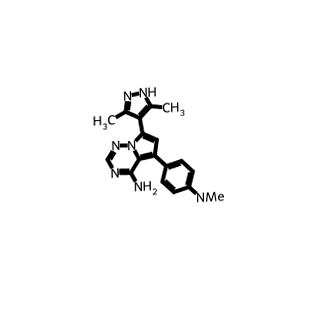 CNc1ccc(-c2cc(-c3c(C)n[nH]c3C)n3ncnc(N)c23)cc1